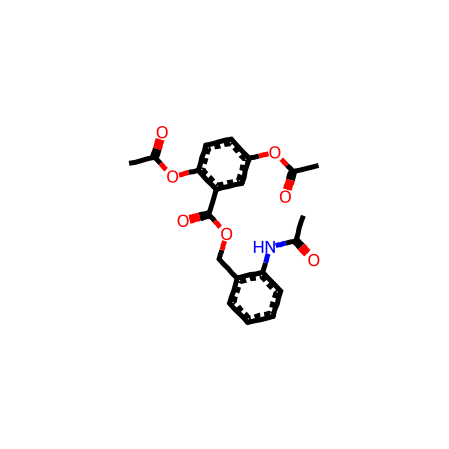 CC(=O)Nc1ccccc1COC(=O)c1cc(OC(C)=O)ccc1OC(C)=O